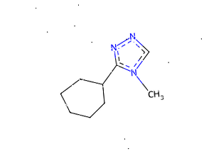 Cn1cnnc1C1CCCCC1